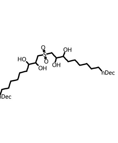 CCCCCCCCCCCCCCCCC(O)C(O)CS(=O)(=O)CC(O)C(O)CCCCCCCCCCCCCCCC